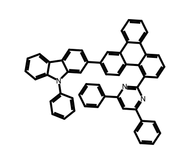 c1ccc(-c2cc(-c3ccccc3)nc(-c3cccc4c5ccccc5c5cc(-c6ccc7c8ccccc8n(-c8ccccc8)c7c6)ccc5c34)n2)cc1